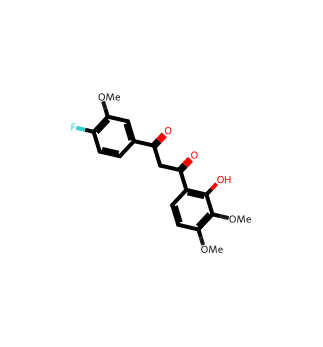 COc1cc(C(=O)CC(=O)c2ccc(OC)c(OC)c2O)ccc1F